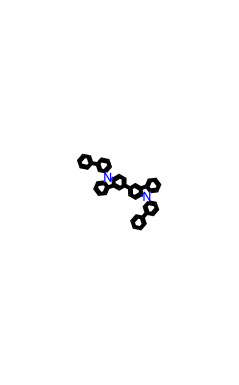 C1=CC(c2cccc(-n3c4ccccc4c4cc(-c5ccc6c(c5)c5ccccc5n6-c5cccc(-c6ccccc6)c5)ccc43)c2)=CCC1